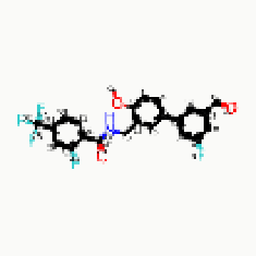 COc1ccc(-c2cc(F)cc(C=O)c2)cc1CNC(=O)c1ccc(C(F)(F)F)cc1F